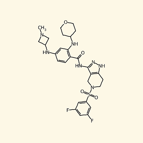 CN1CC(Nc2ccc(C(=O)Nc3n[nH]c4c3CN(S(=O)(=O)c3cc(F)cc(F)c3)CC4)c(NC3CCOCC3)c2)C1